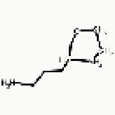 NCCC[SiH]1CO[SiH2][SiH2][SiH2]1